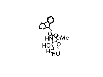 CO[C@H]1O[C@H](CO)[C@@H](O)[C@H](O)[C@H]1NC(=O)OCC1c2ccccc2-c2ccccc21